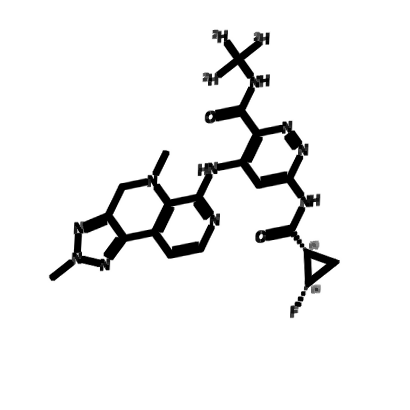 [2H]C([2H])([2H])NC(=O)c1nnc(NC(=O)[C@@H]2C[C@@H]2F)cc1Nc1nccc2c1N(C)Cc1nn(C)nc1-2